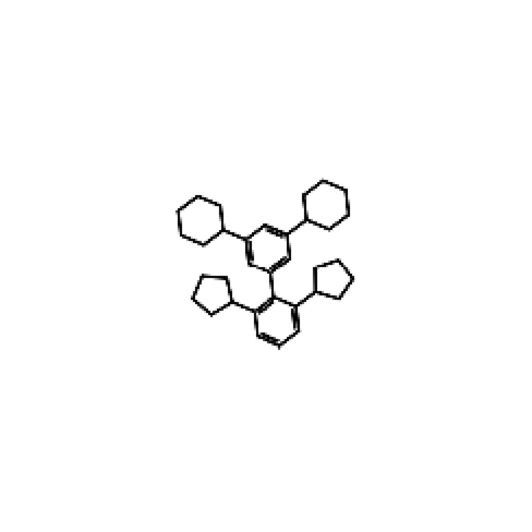 [c]1cc(C2CCCC2)c(-c2cc(C3CCCCC3)cc(C3CCCCC3)c2)c(C2CCCC2)c1